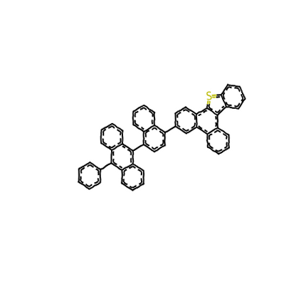 c1ccc(-c2c3ccccc3c(-c3ccc(-c4ccc5c(c4)c4ccccc4c4c6ccccc6sc54)c4ccccc34)c3ccccc23)cc1